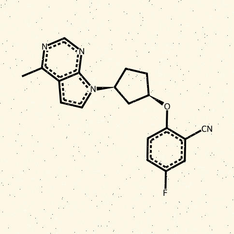 Cc1ncnc2c1ccn2[C@H]1CC[C@@H](Oc2ccc(F)cc2C#N)C1